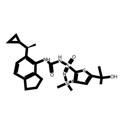 C[C@@H](c1ccc2c(c1NC(=O)NS(=O)(=N[Si](C)(C)C(C)(C)C)c1ccc(C(C)(C)O)s1)CCC2)C1CC1